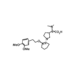 COc1ccc(CCO[C@@H]2CCCC[C@H]2N2CCC([C@H](C(=O)O)N(C)C)C2)cc1OC